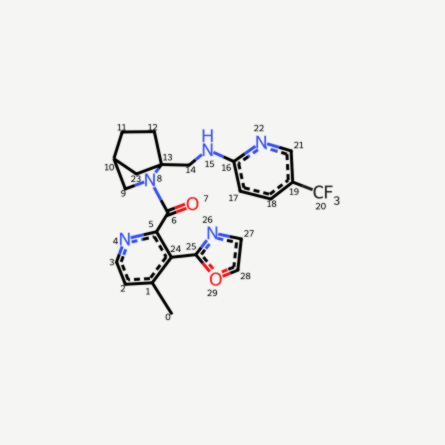 Cc1ccnc(C(=O)N2CC3CCC2(CNc2ccc(C(F)(F)F)cn2)C3)c1-c1ncco1